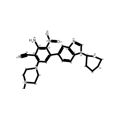 CN1CCN(c2cc(-c3ccc4c(c3)ncn4C3CCCCC3)c([N+](=O)[O-])c(N)c2C#N)CC1